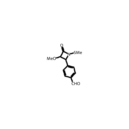 COC1C(=O)N(SC)C1c1ccc(C=O)cc1